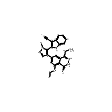 CCOc1cc(-c2cnn(C)c2-c2sc3ccccc3c2C#N)cc2c(CN)n[nH]c(=O)c12